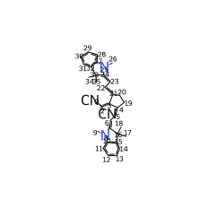 [C-]#[N+]C(C#N)=C1C(=CC=C2N(C)c3ccccc3C2(C)C)CCC1=CC=C1N(C)c2ccccc2C1(C)C